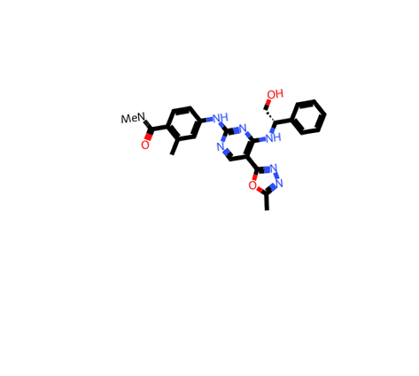 CNC(=O)c1ccc(Nc2ncc(-c3nnc(C)o3)c(N[C@H](CO)c3ccccc3)n2)cc1C